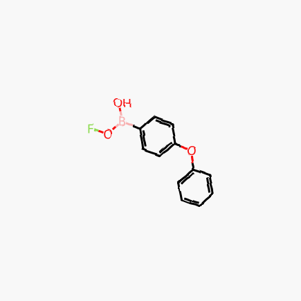 OB(OF)c1ccc(Oc2ccccc2)cc1